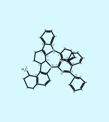 CC1CCCc2ccc3c(c21)C1CCc2c(n(C4=CC=CCC4)c4ccccc24)C1N3c1nc2c(c(-c3ccccc3)n1)C=CCC2